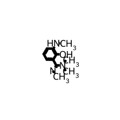 C/N=C(/c1cccc(NC)c1O)N(C)C